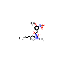 CCCCCCC(C)N(C(=O)Cc1ccc(OC)c(N=S(=O)=O)c1)C(=O)NC